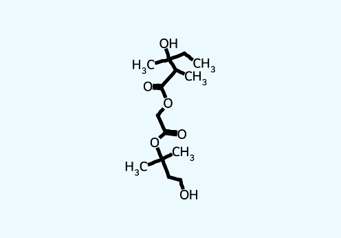 CCC(C)(O)C(C)C(=O)OCC(=O)OC(C)(C)CCO